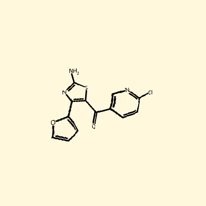 Nc1nc(-c2ccco2)c(C(=O)c2ccc(Cl)nc2)s1